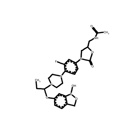 CCC(Oc1ccc2c(c1)B(O)OC2)N1CCN(c2ccc(N3CC(CNC(C)=O)OC3=O)cc2F)CC1